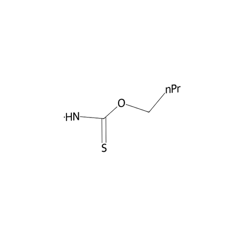 CCCCOC([NH])=S